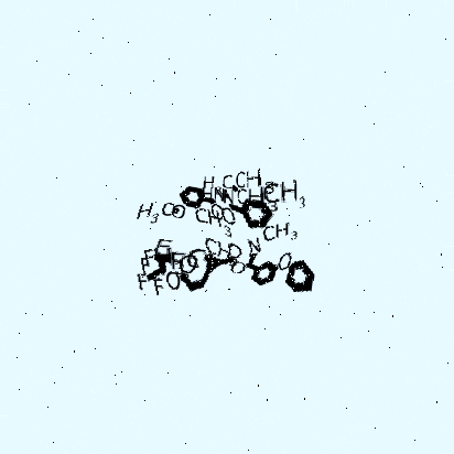 CC1(C)C(/C=C\C(=O)OC(C(F)(F)F)C(F)(F)F)C1C(=O)OC(C#N)c1cccc(Oc2ccccc2)c1.COc1cccc(C(=O)NN(C(=O)c2cc(C)cc(C)c2)C(C)(C)C)c1C